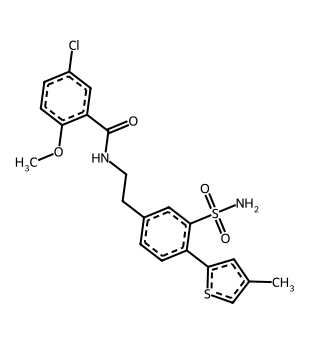 COc1ccc(Cl)cc1C(=O)NCCc1ccc(-c2cc(C)cs2)c(S(N)(=O)=O)c1